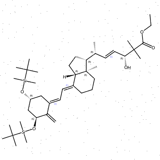 C=C1/C(=C/C=C2\CCC[C@]3(C)[C@@H]([C@H](C)/C=C/[C@@H](O)C(C)(C)C(=O)OCC)CC[C@@H]23)C[C@@H](O[Si](C)(C)C(C)(C)C)C[C@@H]1O[Si](C)(C)C(C)(C)C